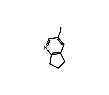 Fc1cnc2c(c1)CCC2